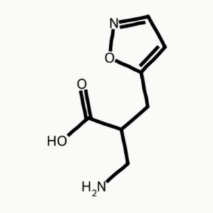 NCC(Cc1ccno1)C(=O)O